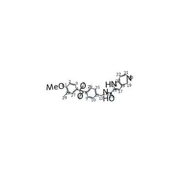 COc1ccc(S(=O)(=O)c2ccc(CNC(=O)c3cc4cnccc4[nH]3)cc2)cc1C